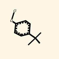 CC(C)(C)c1ccc(OCl)cc1